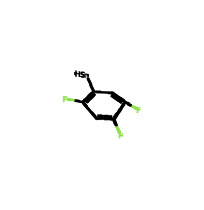 Fc1cc(F)[c]([SnH])cc1F